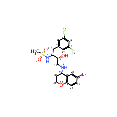 CS(=O)(=O)N[C@@H](Cc1cc(F)cc(F)c1)[C@@H](O)CN[C@H]1CCOc2ccc(I)cc21